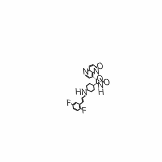 COc1ccc2nccc([C@@H]3OC(=O)N[C@H]3C3CCC(NC/C=C/c4cc(F)ccc4F)CC3)c2n1